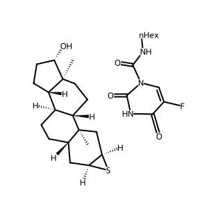 CCCCCCNC(=O)n1cc(F)c(=O)[nH]c1=O.C[C@]12C[C@H]3S[C@H]3C[C@@H]1CC[C@@H]1[C@@H]2CC[C@]2(C)[C@@H](O)CC[C@@H]12